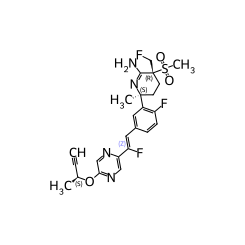 C#C[C@H](C)Oc1cnc(/C(F)=C/c2ccc(F)c([C@]3(C)CC[C@@](CF)(S(C)(=O)=O)C(N)=N3)c2)cn1